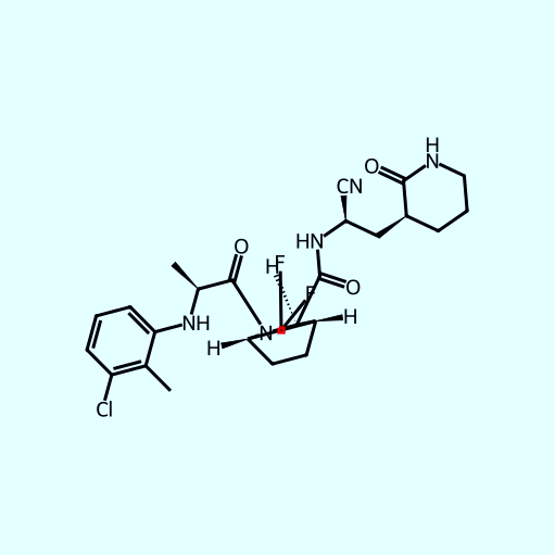 Cc1c(Cl)cccc1N[C@@H](C)C(=O)N1[C@H]2CC[C@@H]([C@@H]1C(=O)N[C@@H](C#N)C[C@@H]1CCCNC1=O)C(F)(F)C2